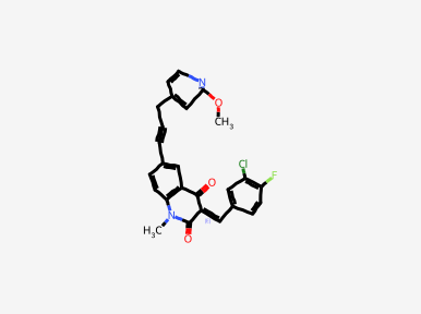 COc1cc(CC#Cc2ccc3c(c2)C(=O)/C(=C\c2ccc(F)c(Cl)c2)C(=O)N3C)ccn1